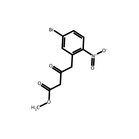 COC(=O)CC(=O)Cc1cc(Br)ccc1[N+](=O)[O-]